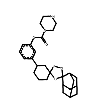 O=C(Oc1cccc(C2CCCC3(C2)OOC2(O3)C3CC4CC(C3)CC2C4)c1)N1CCNCC1